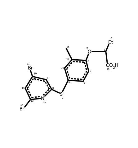 CCC(Oc1ccc(Sc2cc(Br)cc(Br)n2)cc1C)C(=O)O